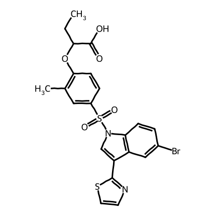 CCC(Oc1ccc(S(=O)(=O)n2cc(-c3nccs3)c3cc(Br)ccc32)cc1C)C(=O)O